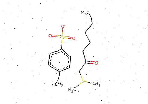 CCCCCC(=O)C[S+](C)C.Cc1ccc(S(=O)(=O)[O-])cc1